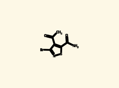 CC(=O)c1c(Br)nsc1C(N)=O